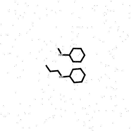 CCCNC1CCCCC1.CNC1CCCCC1